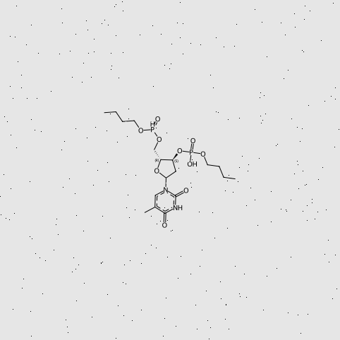 CCCCO[PH](=O)OC[C@H]1OC(n2cc(C)c(=O)[nH]c2=O)C[C@@H]1OP(=O)(O)OCCCC